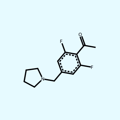 CC(=O)c1c(F)cc(CN2CCCC2)cc1F